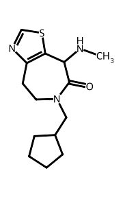 CNC1C(=O)N(CC2CCCC2)CCc2ncsc21